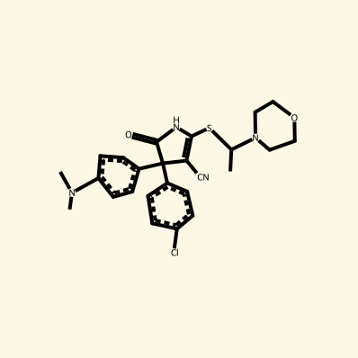 CC(SC1=C(C#N)C(c2ccc(Cl)cc2)(c2ccc(N(C)C)cc2)C(=O)N1)N1CCOCC1